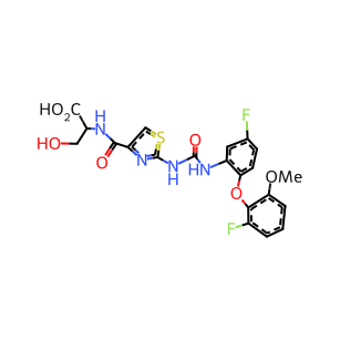 COc1cccc(F)c1Oc1ccc(F)cc1NC(=O)Nc1nc(C(=O)NC(CO)C(=O)O)cs1